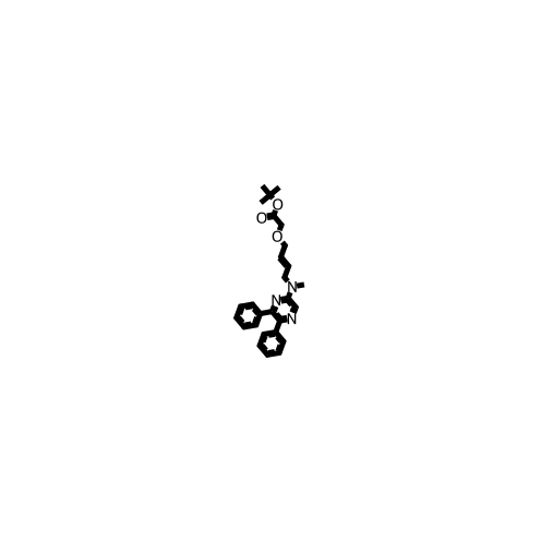 CN(CC=CCOCC(=O)OC(C)(C)C)c1cnc(-c2ccccc2)c(-c2ccccc2)n1